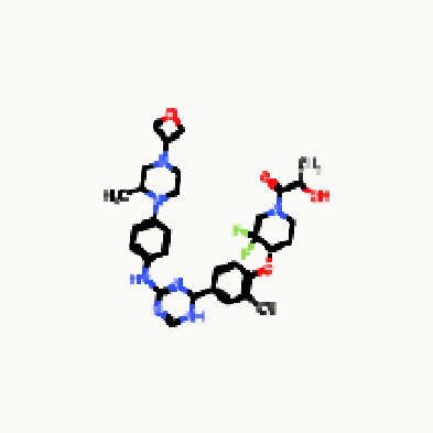 C[C@H](O)C(=O)N1CC[C@H](Oc2ccc(C3N=C(Nc4ccc(N5CCN(C6COC6)C[C@@H]5C)cc4)N=CN3)cc2C#N)C(F)(F)C1